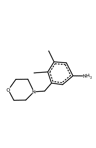 Cc1cc(N)cc(CN2CCOCC2)c1C